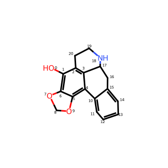 Oc1c2c3c(c4c1OCO4)-c1ccccc1CC3NCC2